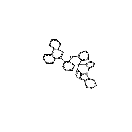 c1ccc2c(c1)Oc1c(-c3cc4ccccc4c4ccccc34)cccc1C21c2ccccc2-n2c3ccccc3c3cccc1c32